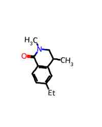 CCc1ccc2c(c1)C(C)CN(C)C2=O